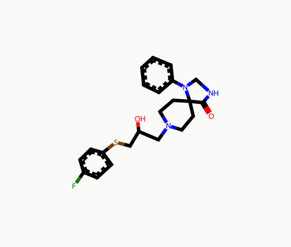 O=C1NCN(c2ccccc2)C12CCN(CC(O)CSc1ccc(F)cc1)CC2